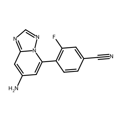 N#Cc1ccc(-c2cc(N)cc3ncnn23)c(F)c1